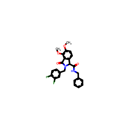 COc1ccc2c(c1OC)C(=O)N(Cc1ccc(F)c(F)c1)C2C(=O)NCc1ccccc1